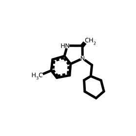 C=C1Nc2cc(C)ccc2N1CC1CCCCC1